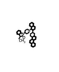 CCC1C(=O)N(C2CCN(c3c(C4CCc5c(ccc6c5ccc5ccccc56)C4)ccc4ccccc34)CC2)c2ccccc21